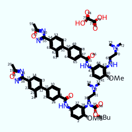 COc1ccc(NC(=O)c2ccc(-c3ccc(-c4noc(C)n4)cc3C)cc2)cc1N(CCN(C)C)C(=O)OC(C)(C)C.COc1ccc(NC(=O)c2ccc(-c3ccc(-c4noc(C)n4)cc3C)cc2)cc1NCCN(C)C.O=C(O)C(=O)O